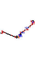 CC(C)(C)OC(=O)CCCCCCCCCCCCCCCOc1ccc(S(=O)(=O)Nc2ncc(C(=O)NCCOCCOCC(=O)NCCOCCOCC(=O)ON3C(=O)CCC3=O)cn2)cc1